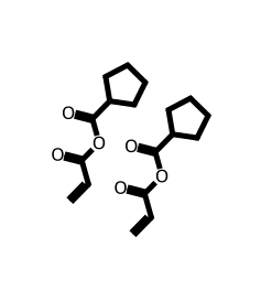 C=CC(=O)OC(=O)C1CCCC1.C=CC(=O)OC(=O)C1CCCC1